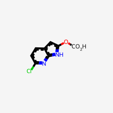 O=C(O)Oc1cc2ccc(Cl)nc2[nH]1